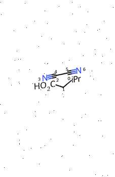 CC(C)CC(=O)O.N#CC#N